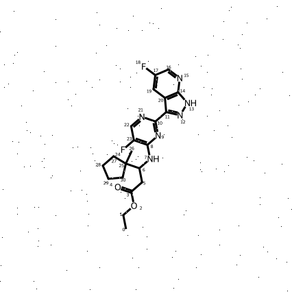 CCOC(=O)CC(Nc1nc(-c2n[nH]c3ncc(F)cc23)ncc1F)C1(C)CCCC1